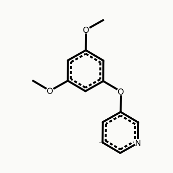 COc1cc(OC)cc(Oc2c[c]cnc2)c1